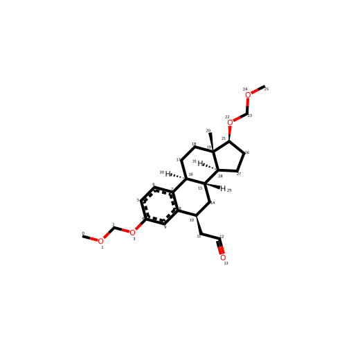 COCOc1ccc2c(c1)[C@H](CC=O)C[C@@H]1[C@@H]2CC[C@]2(C)[C@@H](OCOC)CC[C@@H]12